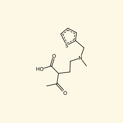 CC(=O)C(CCN(C)Cc1cccs1)C(=O)O